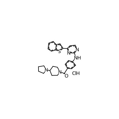 Cl.O=C(c1ccc(Nc2nccc(-c3cc4ccccc4s3)n2)cc1)N1CCC(N2CCCC2)CC1